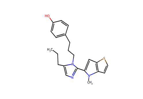 CCCc1cnc(-c2cc3sccc3n2C)n1CCCc1ccc(O)cc1